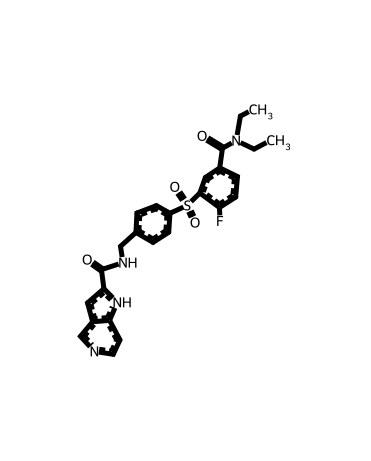 CCN(CC)C(=O)c1ccc(F)c(S(=O)(=O)c2ccc(CNC(=O)c3cc4cnccc4[nH]3)cc2)c1